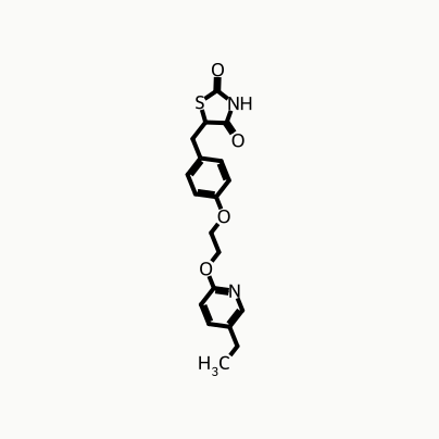 CCc1ccc(OCCOc2ccc(CC3SC(=O)NC3=O)cc2)nc1